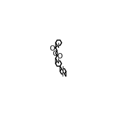 CN1CCN(C2CCN(CC(=O)OCC(=O)N3CCCCC3)CC2)CC1